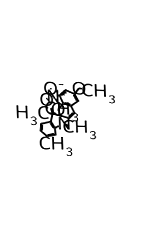 COc1cc2c(c([N+](=O)[O-])c1)OC1(C=C2)N(C)c2cc(C)ccc2C1(C)C